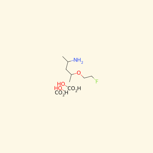 CC(N)CC(C)OCCF.O=C(O)O.O=C(O)O